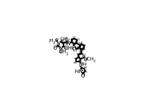 COc1nc(-c2cccc(-c3cccc(NC(=O)C4=C(C)N(C)C(=O)N(C)C4O)c3C)c2Cl)cc2c1[C@@H](NC[C@@H]1CCC(=O)N1)CC2